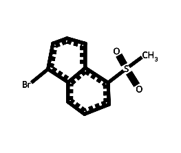 CS(=O)(=O)c1cccc2c(Br)cccc12